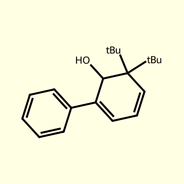 CC(C)(C)C1(C(C)(C)C)C=CC=C(c2ccccc2)C1O